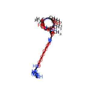 CO[C@H]1C[C@@H]2CC[C@@H](C)[C@@](O)(O2)C(=O)C(=O)N2CCCC[C@H]2C(=O)O[C@H]([C@H](N)C[C@@H]2CC[C@@H](OCCCCc3cn(CCOCCOCCOCCOCCOCCOCCOCCOCCC(=O)NCCCCn4nc(-c5cnc6[nH]ccc6c5)c5c(N)ncnc54)nn3)[C@H](OC)C2)CC(=O)[C@H](C)/C=C(\C)[C@@H](O)[C@@H](OC)C(=O)[C@H](C)C[C@H](C)/C=C/C=C/C=C/1C